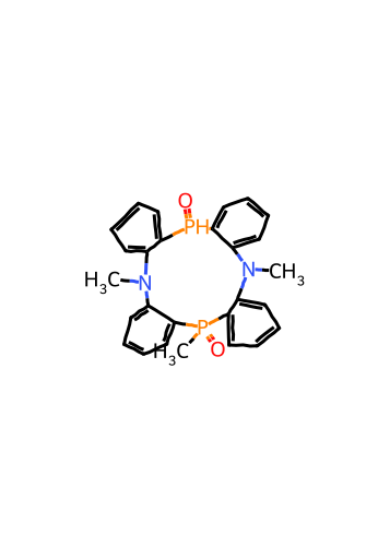 CN1c2ccccc2[PH](=O)c2ccccc2N(C)c2ccccc2P(C)(=O)c2ccccc21